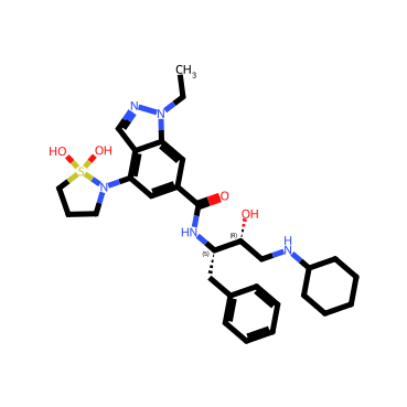 CCn1ncc2c(N3CCCS3(O)O)cc(C(=O)N[C@@H](Cc3ccccc3)[C@H](O)CNC3CCCCC3)cc21